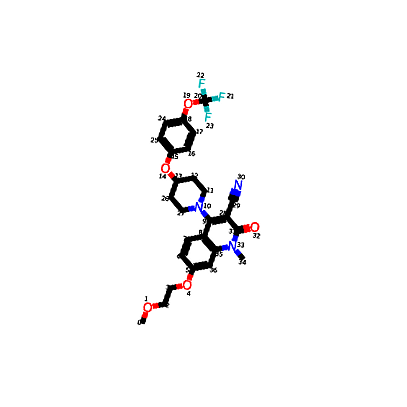 COCCOc1ccc2c(N3CCC(Oc4ccc(OC(F)(F)F)cc4)CC3)c(C#N)c(=O)n(C)c2c1